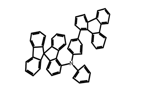 c1ccc(N(c2ccc(-c3cccc4c5ccccc5c5ccccc5c34)cc2)c2cccc3c2-c2ccccc2C32c3ccccc3-c3ccccc32)cc1